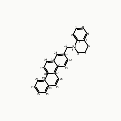 c1ccc2c(c1)CCCN2Cc1ccc2c(ccc3c4ccccc4ccc23)c1